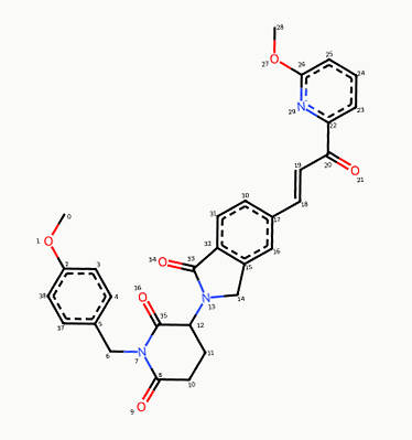 COc1ccc(CN2C(=O)CCC(N3Cc4cc(/C=C/C(=O)c5cccc(OC)n5)ccc4C3=O)C2=O)cc1